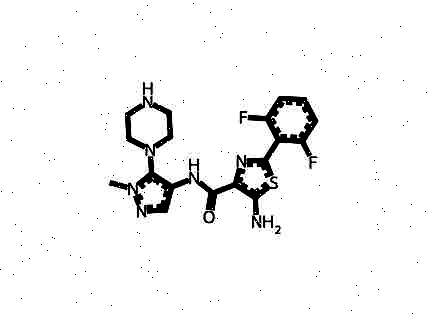 Cn1ncc(NC(=O)c2nc(-c3c(F)cccc3F)sc2N)c1N1CCNCC1